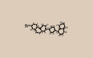 Brc1ccc2c(ccc3cc(-c4ccc(-c5cccc6ccccc56)cc4)ccc32)c1